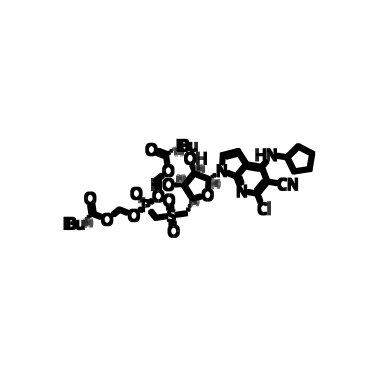 CC[C@@H](C)C(=O)OCOP(=O)(CS(=O)(=O)C[C@H]1O[C@@H](n2ccc3c(NC4CCCC4)c(C#N)c(Cl)nc32)[C@H](O)[C@@H]1O)OCOC(=O)[C@@H](C)CC